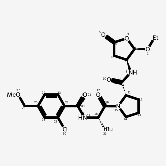 CCO[C@@H]1OC(=O)C[C@@H]1NC(=O)[C@@H]1CCCN1C(=O)[C@@H](NC(=O)c1ccc(COC)cc1Cl)C(C)(C)C